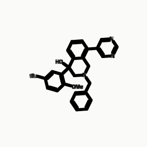 COc1ccc(C(C)(C)C)cc1C1(O)CN(Cc2ccccc2)Cc2c(-c3cncnc3)cccc21